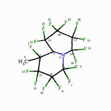 CC1(F)C2N(C(F)(F)C(F)(F)C1(F)F)C(F)(F)C(F)(F)C(F)(F)C2(F)F